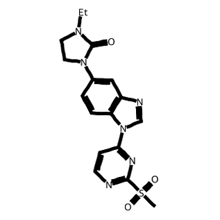 CCN1CCN(c2ccc3c(c2)ncn3-c2ccnc(S(C)(=O)=O)n2)C1=O